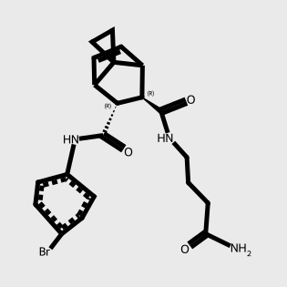 NC(=O)CCCNC(=O)[C@@H]1C2C=CC([C@H]1C(=O)Nc1ccc(Br)cc1)C21CC1